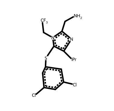 CC(C)c1nc(CN)n(CC(F)(F)F)c1Sc1cc(Cl)cc(Cl)c1